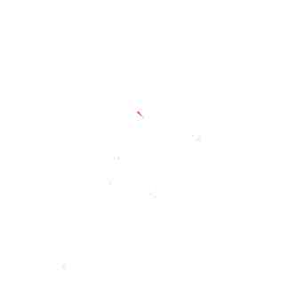 CCCC(CCC)S(=O)(=O)C[C@@H](NC(=O)CCl)C(=O)N(Cc1cccc(CC)c1)C[C@@H](O)[C@@H](N)Cc1cc(F)cc(F)c1